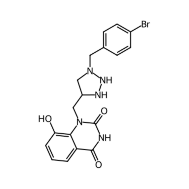 O=c1[nH]c(=O)n(CC2CN(Cc3ccc(Br)cc3)NN2)c2c(O)cccc12